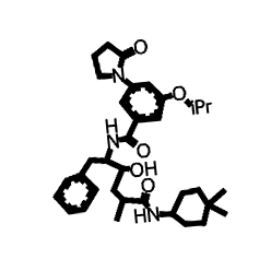 CC(C)Oc1cc(C(=O)NC(Cc2ccccc2)C(O)CC(C)C(=O)NC2CCC(C)(C)CC2)cc(N2CCCC2=O)c1